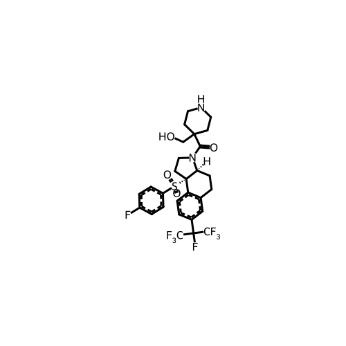 O=C(N1CC[C@]2(S(=O)(=O)c3ccc(F)cc3)c3ccc(C(F)(C(F)(F)F)C(F)(F)F)cc3CC[C@H]12)C1(CO)CCNCC1